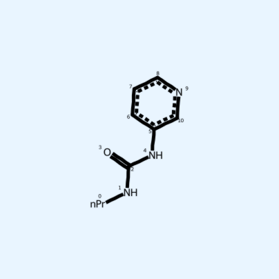 CCCNC(=O)Nc1cccnc1